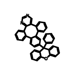 c1ccc(C2(c3ccc4c(c3)-c3ccccc3-c3cncnc3-c3ccccc3-4)c3ccccc3Oc3ccccc32)cc1